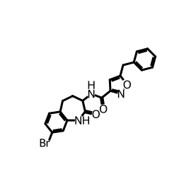 O=C(NC1CCc2ccc(Br)cc2NC1=O)c1cc(Cc2ccccc2)on1